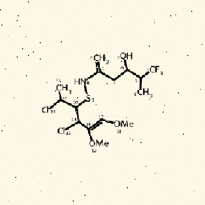 C=C(CC(O)C(C)C(F)(F)F)NSC(C(C)Cl)C(Cl)/C(=C/OC)OC